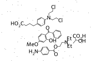 CC(O)C(=O)O.CCN(CC)CCOC(=O)c1ccc(N)cc1.COc1ccc(C(=O)c2ccccc2)c(O)c1.O=C(O)CCCc1ccc(N(CCCl)CCCl)cc1